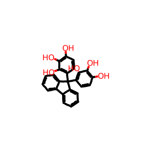 Oc1ccc(C2(c3ccc(O)c(O)c3O)c3ccccc3-c3ccccc32)c(O)c1O